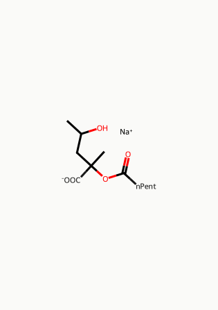 CCCCCC(=O)OC(C)(CC(C)O)C(=O)[O-].[Na+]